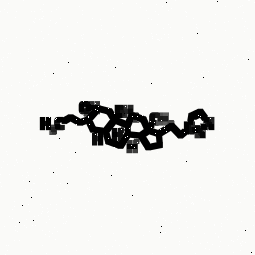 BC12CC[C@](O)(CCC)C[C@@H]1CCC1[C@@H]3CCC(CCn4ccnn4)C3(C)CC[C@@H]12